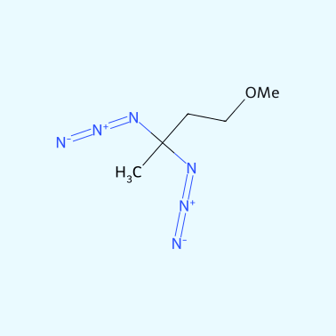 COCCC(C)(N=[N+]=[N-])N=[N+]=[N-]